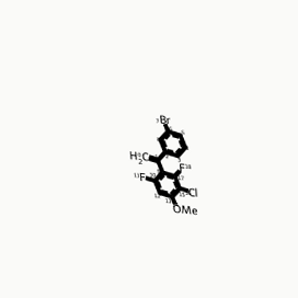 C=C(c1cccc(Br)c1)c1c(F)cc(OC)c(Cl)c1F